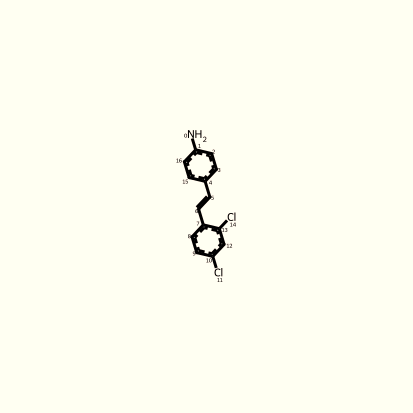 Nc1ccc(/C=C/c2ccc(Cl)cc2Cl)cc1